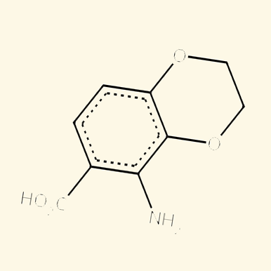 Nc1c(C(=O)O)ccc2c1OCCO2